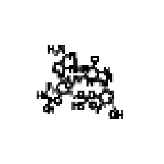 Nc1nc2c(nnn2[C@@H]2S[C@H](CO)[C@@H](F)[C@H]2OP(=O)(S)OC[C@H]2O[C@@H](n3ccc4c(N)ncnc43)[C@@H](F)[C@@H]2O[PH](=O)S)c(=O)[nH]1